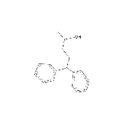 [CH2]C(O)CCC(c1ccccc1)c1ccccc1